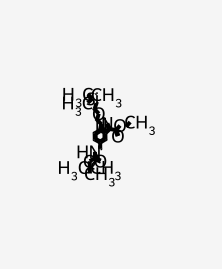 CCOC(=O)c1nn(COCC[Si](C)(C)C)c2ccc(CNC(=O)OC(C)(C)C)cc12